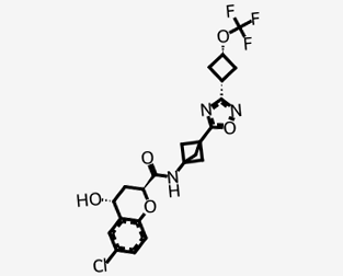 O=C(NC12CC(c3nc([C@H]4C[C@@H](OC(F)(F)F)C4)no3)(C1)C2)[C@@H]1C[C@@H](O)c2cc(Cl)ccc2O1